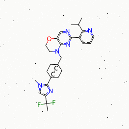 CC(C)c1ncccc1-c1ncc2c(n1)N(CC13CCC(c4nc(C(C)(F)F)cn4C)(CC1)CC3)CCO2